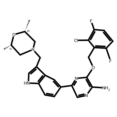 C[C@@H]1CN(Cc2c[nH]c3ccc(-c4cnc(N)c(OCc5c(F)ccc(F)c5Cl)n4)cc23)C[C@H](C)O1